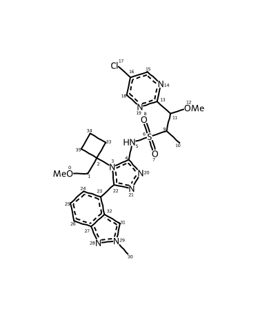 COCC1(n2c(NS(=O)(=O)C(C)C(OC)c3ncc(Cl)cn3)nnc2-c2cccc3nn(C)cc23)CCC1